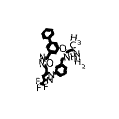 C[C@H](N)C(=O)NCc1cccc(-n2nc(C(F)(F)F)cc2-c2nnc(-c3cccc(-c4ccccc4)c3)o2)c1